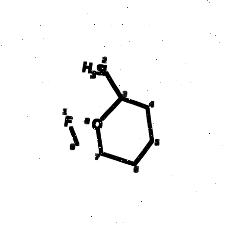 CF.[SiH3]C1CCCCO1